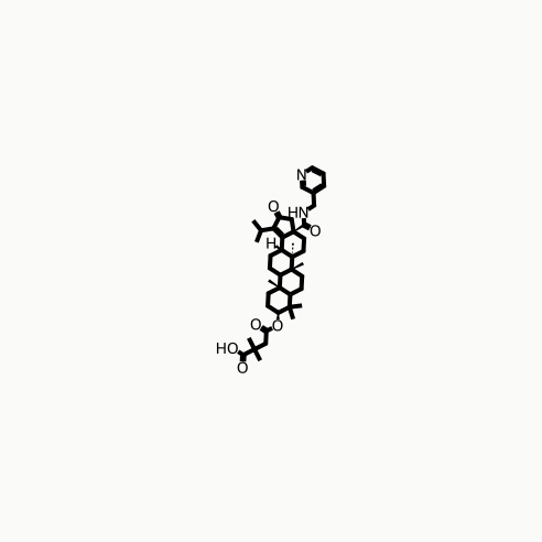 CC(C)C1=C2[C@H]3CCC4[C@@]5(C)CC[C@H](OC(=O)CC(C)(C)C(=O)O)C(C)(C)C5CC[C@@]4(C)[C@]3(C)CC[C@@]2(C(=O)NCc2cccnc2)CC1=O